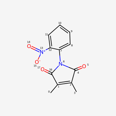 CC1=C(C)C(=O)N(c2ccccc2[N+](=O)[O-])C1=O